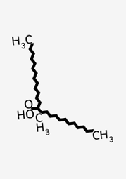 CCCCCCCCCCCCCCC(C(=O)O)C(C)CCCCCCCCCCCC